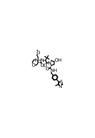 COCCN1CCOC[C@@H]1C(=O)N[C@H](C(=O)N1C[C@H](O)C[C@H]1C(=O)NCc1ccc(-c2scnc2C)cc1)C(C)(C)C